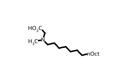 CCCCCCCCCCCCCCCN(C)CC(=O)O